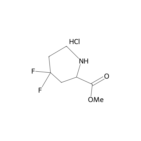 COC(=O)C1CC(F)(F)CCN1.Cl